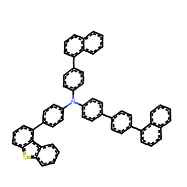 c1ccc2c(-c3ccc(-c4ccc(N(c5ccc(-c6cccc7ccccc67)cc5)c5ccc(-c6cccc7sc8ccccc8c67)cc5)cc4)cc3)cccc2c1